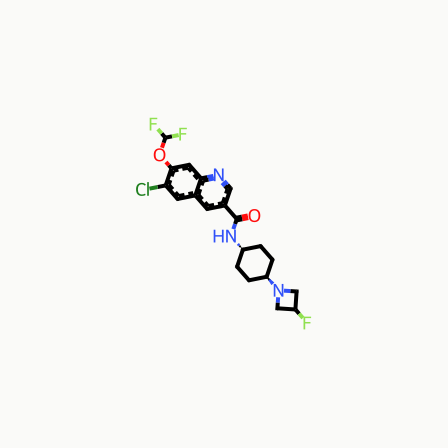 O=C(N[C@H]1CC[C@H](N2CC(F)C2)CC1)c1cnc2cc(OC(F)F)c(Cl)cc2c1